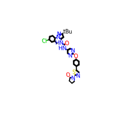 Cc1cc(Cl)ccc1-n1nc(C(C)(C)C)cc1NC(=O)Nc1cnc(Oc2ccc(-c3cnc(N4CCCC4=O)s3)cc2)nc1